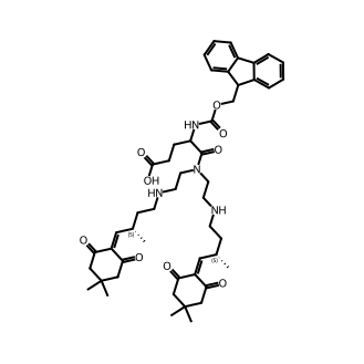 C[C@H](C=C1C(=O)CC(C)(C)CC1=O)CCNCCN(CCNCC[C@H](C)C=C1C(=O)CC(C)(C)CC1=O)C(=O)C(CCC(=O)O)NC(=O)OCC1c2ccccc2-c2ccccc21